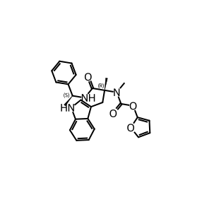 C[C@H](NC(=O)[C@@](C)(Cc1c[nH]c2ccccc12)N(C)C(=O)Oc1ccco1)c1ccccc1